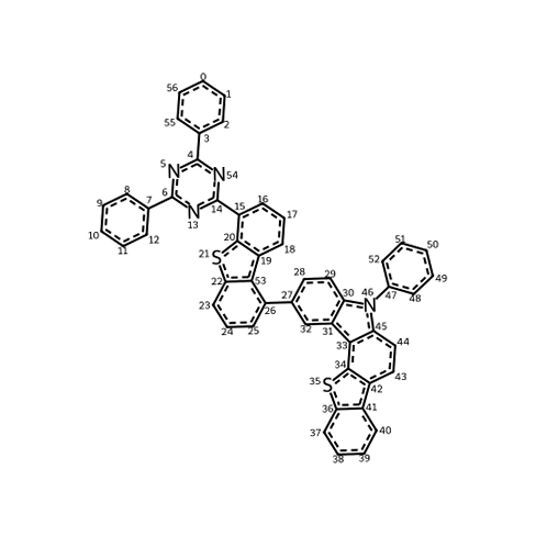 c1ccc(-c2nc(-c3ccccc3)nc(-c3cccc4c3sc3cccc(-c5ccc6c(c5)c5c7sc8ccccc8c7ccc5n6-c5ccccc5)c34)n2)cc1